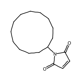 O=C1C=CC(=O)N1C1CCCCCCCCCCCC1